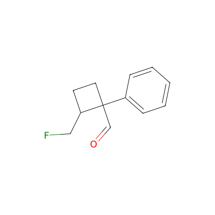 O=CC1(c2ccccc2)CCC1CF